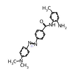 Cc1ccc(N)c(NC(=O)c2ccc(/N=N/c3ccc(N(C)C)cc3)cc2)c1